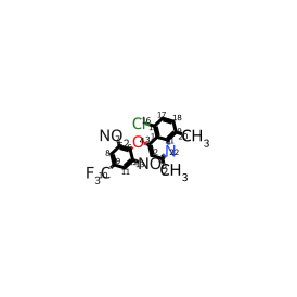 Cc1cc(Oc2c([N+](=O)[O-])cc(C(F)(F)F)cc2[N+](=O)[O-])c2c(Cl)ccc(C)c2n1